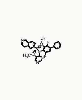 COc1cncnc1N(c1c(F)cc(-c2ccccc2)c(F)c1OC)S(=O)(=O)c1ccc2cnccc2c1